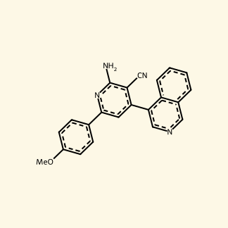 COc1ccc(-c2cc(-c3cncc4ccccc34)c(C#N)c(N)n2)cc1